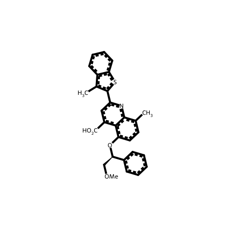 COC[C@@H](Oc1ccc(C)c2nc(-c3sc4ccccc4c3C)cc(C(=O)O)c12)c1ccccc1